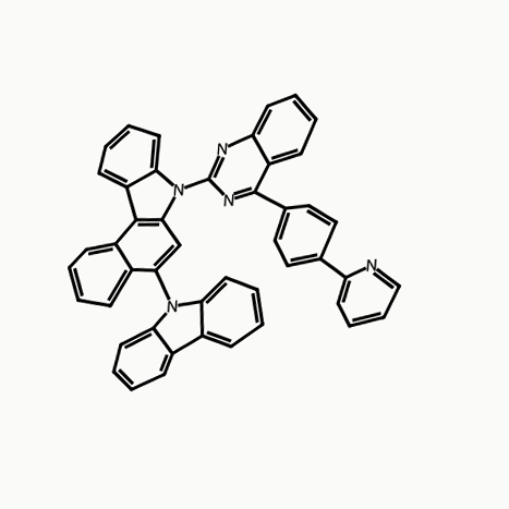 c1ccc(-c2ccc(-c3nc(-n4c5ccccc5c5c6ccccc6c(-n6c7ccccc7c7ccccc76)cc54)nc4ccccc34)cc2)nc1